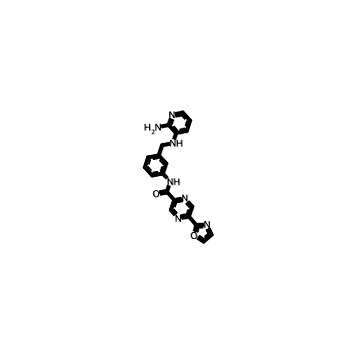 Nc1ncccc1NCc1cccc(NC(=O)c2cnc(-c3ncco3)cn2)c1